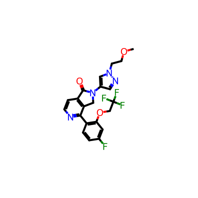 COCCn1cc(N2Cc3c(ccnc3-c3ccc(F)cc3OCC(F)(F)F)C2=O)cn1